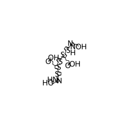 O=C(O)CCc1cc(-c2ccc(-c3ncc(CO)[nH]3)s2)sc1-c1ccc(-c2sc(-c3ccc(-c4ncc(CO)[nH]4)s3)cc2CCC(=O)O)s1